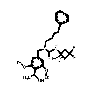 CCOc1cc(CN(CCCCc2ccccc2)C(=O)NC2(C(=O)O)CC(F)(F)C2)cc(OCC)c1C(C)O